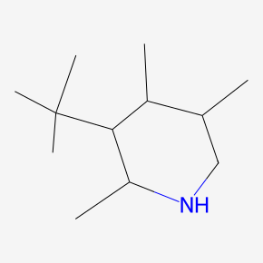 CC1CNC(C)C(C(C)(C)C)C1C